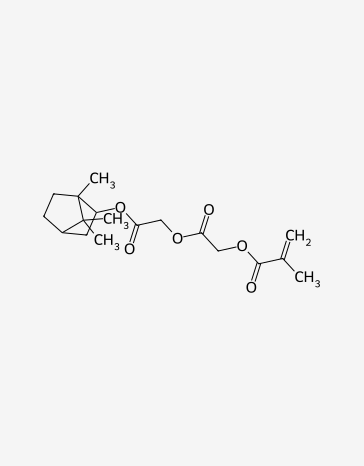 C=C(C)C(=O)OCC(=O)OCC(=O)OC1CC2CCC1(C)C2(C)C